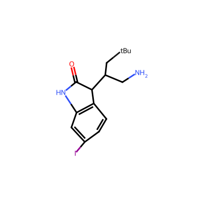 CC(C)(C)CC(CN)C1C(=O)Nc2cc(I)ccc21